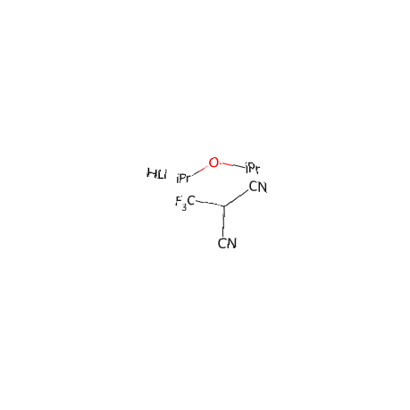 CC(C)OC(C)C.N#CC(C#N)C(F)(F)F.[LiH]